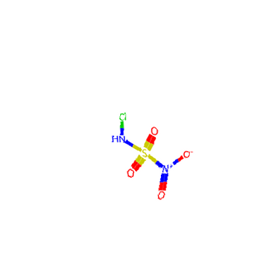 O=[N+]([O-])S(=O)(=O)NCl